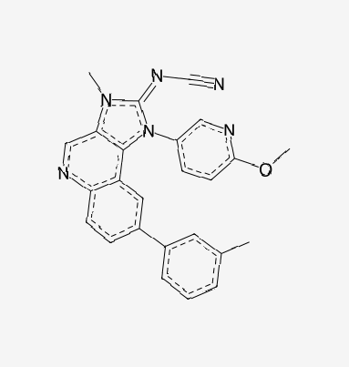 COc1ccc(-n2/c(=N\C#N)n(C)c3cnc4ccc(-c5cccc(C)c5)cc4c32)cn1